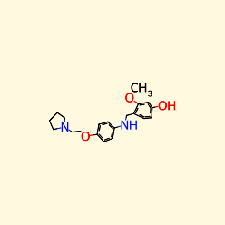 COc1cc(O)ccc1CNc1ccc(OCCN2CCCC2)cc1